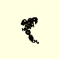 CN1CCN(c2ccc(Nc3ncc(C(=O)Nc4c(F)cccc4Cl)c(N(C)C4CCCO4)n3)cc2)CC1